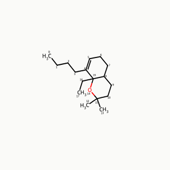 CCCCC1=CCCC2CCC(C)(C)OC12CC